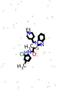 CCN1CCC(Cn2c(SC(C)C(=O)Nc3ccc(C)cc3Cl)nc3ccccc32)CC1